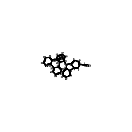 N#Cc1ccc2c(c1)c1ccccc1n2-c1ccccc1-c1ccccc1-c1ncccc1C#N